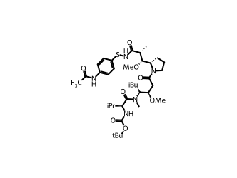 CC[C@H](C)[C@@H]([C@@H](CC(=O)N1CCC[C@H]1[C@H](OC)[C@@H](C)C(=O)NSc1ccc(NC(=O)C(F)(F)F)cc1)OC)N(C)C(=O)[C@@H](NC(=O)OC(C)(C)C)C(C)C